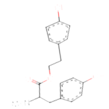 CNC(Cc1ccc(O)cc1)C(=O)OCCc1ccc(O)cc1